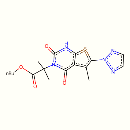 CCCCOC(=O)C(C)(C)n1c(=O)[nH]c2sc(-n3nccn3)c(C)c2c1=O